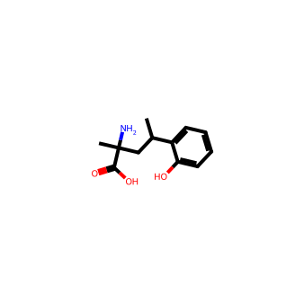 CC(CC(C)(N)C(=O)O)c1ccccc1O